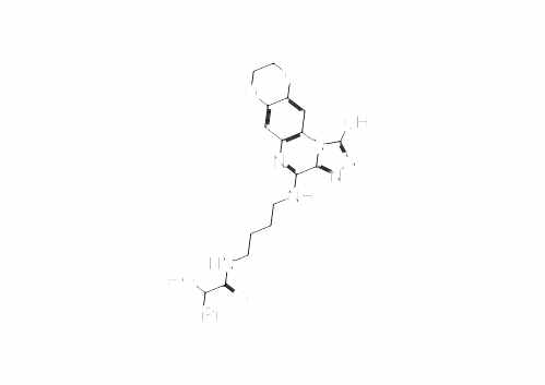 Cc1nnc2c(NCCCCNC(=O)C(O)C(C)C)nc3cc4c(cc3n12)OCCO4